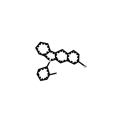 Brc1ccc2cc3c4ccccc4n(-c4ccccc4I)c3cc2c1